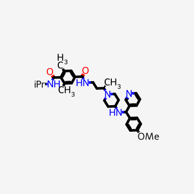 COc1ccc(C(NC2CCN([C@H](C)CCNC(=O)c3cc(C)c(C(=O)NC(C)C)c(C)c3)CC2)c2cccnc2)cc1